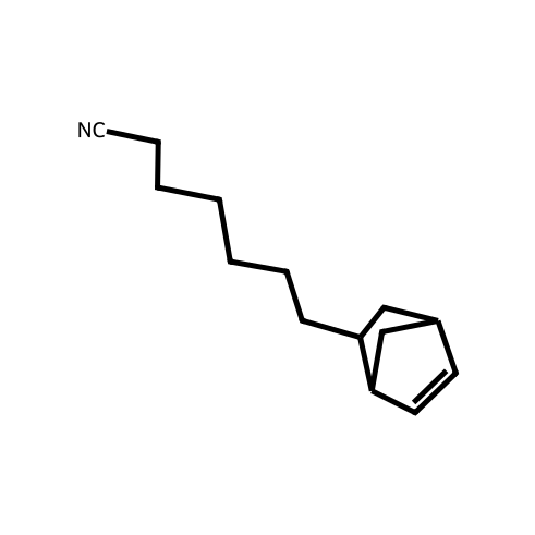 N#CCCCCCCC1CC2C=CC1C2